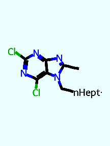 CCCCCC[CH]Cn1c(C)nc2nc(Cl)nc(Cl)c21